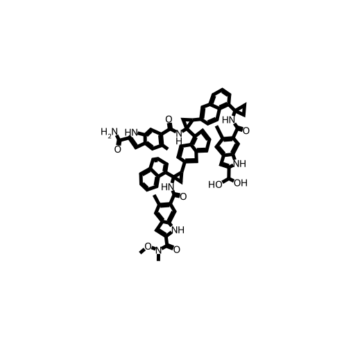 CON(C)C(=O)c1cc2cc(C)c(C(=O)NC3(c4cccc5ccccc45)CC3c3ccc4c(C5(NC(=O)c6cc7[nH]c(C(N)=O)cc7cc6C)CC5c5ccc6c(C7(NC(=O)c8cc9[nH]c(C(O)O)cc9cc8C)CC7)cccc6c5)cccc4c3)cc2[nH]1